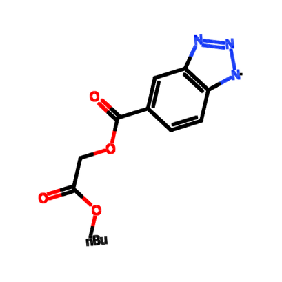 CCCCOC(=O)COC(=O)c1ccc2c(c1)N=N[N]2